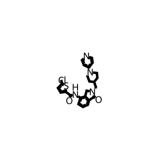 O=C(Nc1cccc2c1CN(CC1CCN(c3ccncc3)CC1)C2=O)c1ccc(Cl)s1